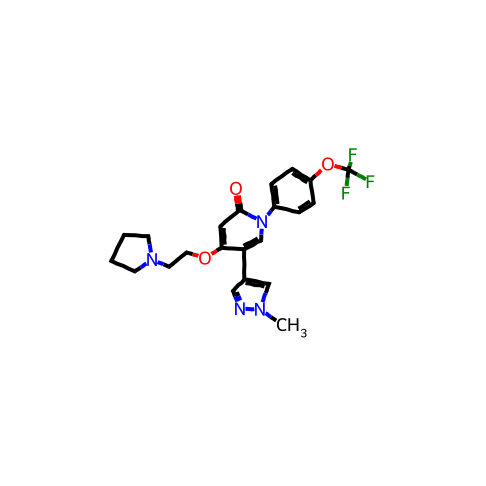 Cn1cc(-c2cn(-c3ccc(OC(F)(F)F)cc3)c(=O)cc2OCCN2CCCC2)cn1